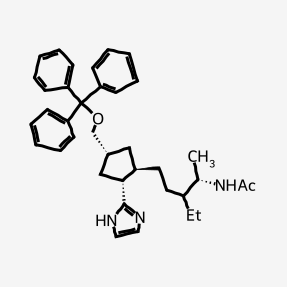 CCC(CC[C@@H]1C[C@@H](COC(c2ccccc2)(c2ccccc2)c2ccccc2)C[C@H]1c1ncc[nH]1)[C@H](C)NC(C)=O